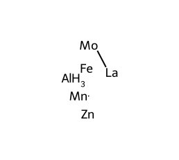 [AlH3].[Fe].[Mn].[Mo][La].[Zn]